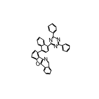 c1ccc(-c2nc(-c3ccccc3)nc(-c3ccc(-c4cccc5oc6c7ccccc7cnc6c45)c4ccccc34)n2)cc1